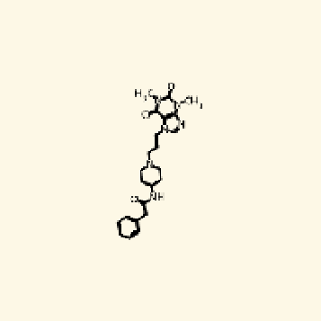 Cn1c(=O)c2c(ncn2CCCN2CCC(NC(=O)Cc3ccccc3)CC2)n(C)c1=O